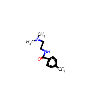 CN(C)CCNC(=O)c1ccc(C(F)(F)F)cc1